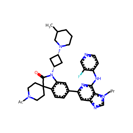 CC(=O)N1CCC2(CC1)C(=O)N([C@H]1C[C@@H](N3CCCC(C)C3)C1)c1cc(-c3cc4ncn(C(C)C)c4c(Nc4ccncc4F)n3)ccc12